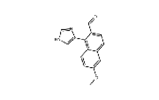 COc1ccc2c(-c3c[nH]cn3)c(C=O)ccc2c1